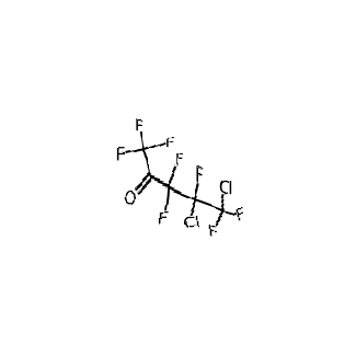 O=C(C(F)(F)F)C(F)(F)C(F)(Cl)C(F)(F)Cl